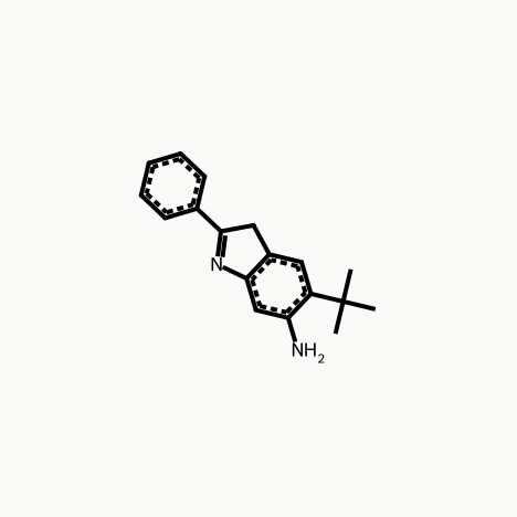 CC(C)(C)c1cc2c(cc1N)N=C(c1ccccc1)C2